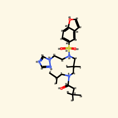 CC(C)CN(CC(C)(C)CN(CCn1cncn1)S(=O)(=O)c1ccc2occc2c1)C(=O)CC(C)(C)C